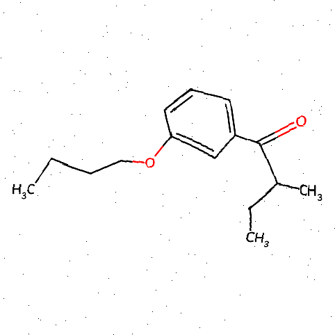 CCCCOc1cccc(C(=O)C(C)CC)c1